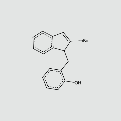 CCCCC1=Cc2ccccc2C1Cc1ccccc1O